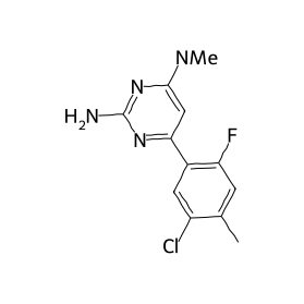 CNc1cc(-c2cc(Cl)c(C)cc2F)nc(N)n1